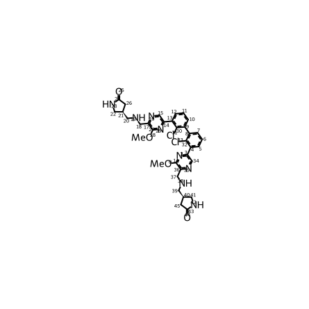 COc1nc(-c2cccc(-c3cccc(-c4cnc(CNC[C@H]5CNC(=O)C5)c(OC)n4)c3Cl)c2Cl)cnc1CNC[C@H]1CNC(=O)C1